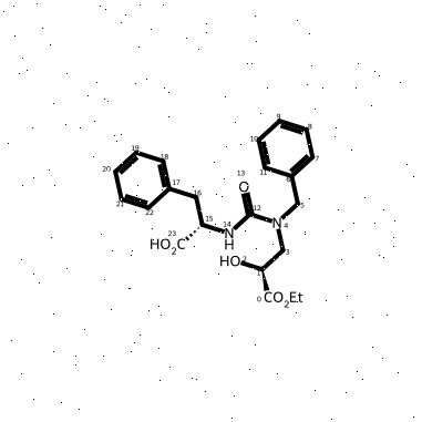 CCOC(=O)[C@@H](O)CN(Cc1ccccc1)C(=O)N[C@@H](Cc1ccccc1)C(=O)O